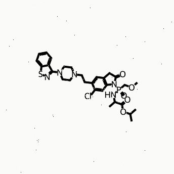 COCP(=O)(NC(C)C(=O)OC(C)C)N1C(=O)Cc2cc(CCN3CCN(c4nsc5ccccc45)CC3)c(Cl)cc21